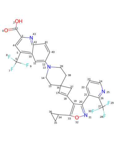 O=C(O)c1cc(C(F)(F)F)c2cc(N3CCC4(C=C(c5c(-c6cccnc6C(F)(F)F)noc5C5CC5)C4)CC3)ccc2n1